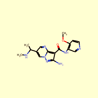 CNC(C)c1cnc2c(C(=O)Nc3cnccc3OC)c(N)nn2c1